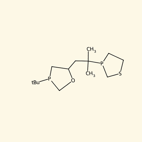 CC(C)(C)P1COC(CC(C)(C)P2CCSC2)C1